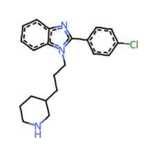 Clc1ccc(-c2nc3ccccc3n2CCCC2CCCNC2)cc1